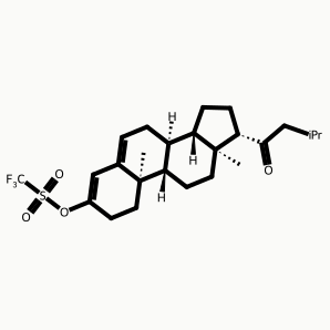 CC(C)CC(=O)[C@H]1CC[C@H]2[C@@H]3CC=C4C=C(OS(=O)(=O)C(F)(F)F)CC[C@]4(C)[C@H]3CC[C@]12C